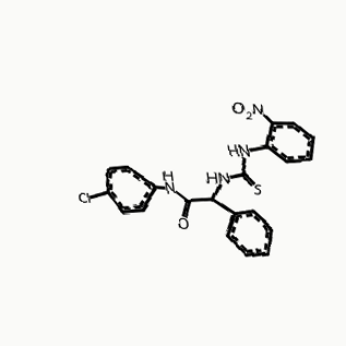 O=C(Nc1ccc(Cl)cc1)C(NC(=S)Nc1ccccc1[N+](=O)[O-])c1ccccc1